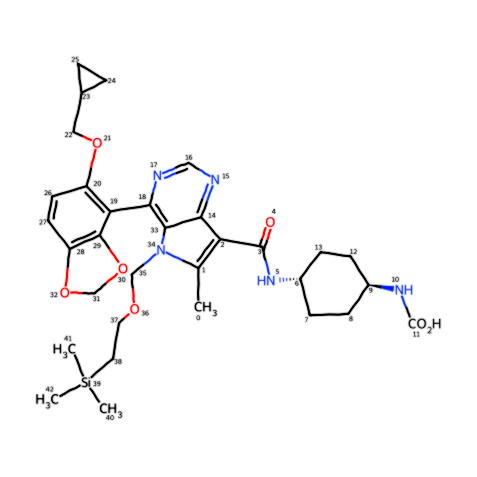 Cc1c(C(=O)N[C@H]2CC[C@H](NC(=O)O)CC2)c2ncnc(-c3c(OCC4CC4)ccc4c3OCO4)c2n1COCC[Si](C)(C)C